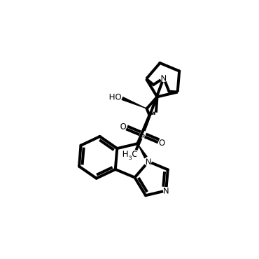 CS(=O)(=O)N1CC2CCC(C1)C21C[C@H]([C@@H]2c3ccccc3-c3cncn32)[C@H]1O